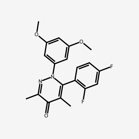 COc1cc(OC)cc(-n2nc(C)c(=O)c(C)c2-c2ccc(F)cc2F)c1